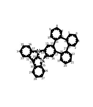 c1ccc2c(c1)-c1ccccc1-c1cc3c(cc1-c1ccccc1-2)n1c2ccccc2c2c4ccccc4n3c21